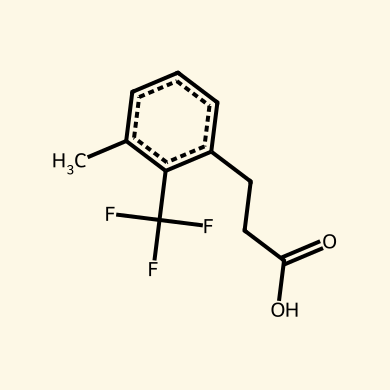 Cc1cccc(CCC(=O)O)c1C(F)(F)F